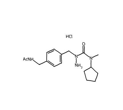 CC(=O)NCc1ccc(CN(N)C(=O)N(C)C2CCCC2)cc1.Cl